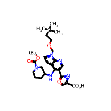 CC(C)(C)OC(=O)N1CCCC(Nc2c(-c3nc(C(=O)O)co3)cnc3c2ccn3COCC[Si](C)(C)C)C1